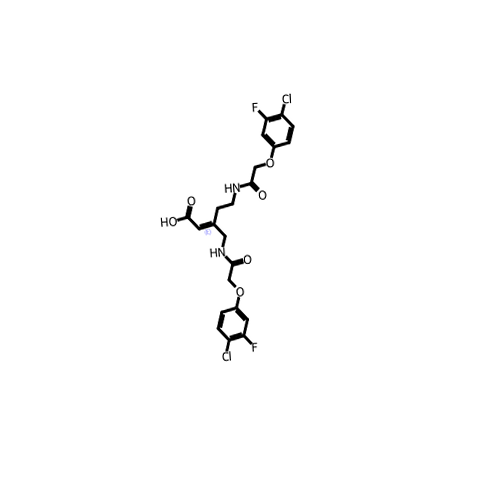 O=C(O)/C=C(\CCNC(=O)COc1ccc(Cl)c(F)c1)CNC(=O)COc1ccc(Cl)c(F)c1